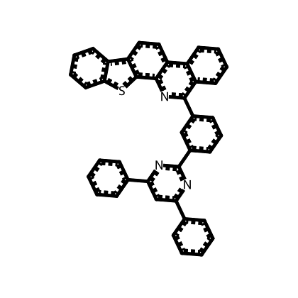 c1ccc(-c2cc(-c3ccccc3)nc(-c3cccc(-c4nc5c(ccc6c7ccccc7sc65)c5ccccc45)c3)n2)cc1